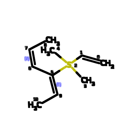 C=CS(C)(C)C(/C=C\C)=C/C